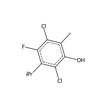 Cc1c(O)c(Cl)c(C(C)C)c(F)c1Cl